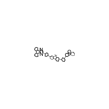 CC1(C)C2=C(CCC(c3ccc(-c4cnc5c6ccccc6c6ccccc6c5n4)cc3)=C2)c2ccc(-c3cccc(-c4ccc5oc6c(c5c4)CCC=C6)c3)cc21